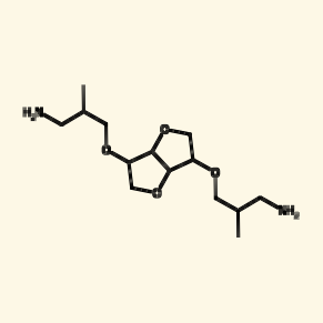 CC(CN)COC1COC2C(OCC(C)CN)COC12